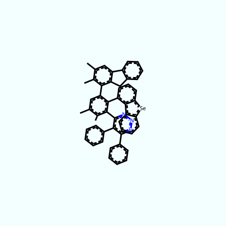 Cc1cc2c(c(-c3cc(C)c(C)c(-c4nnnc(-c5ccccc5)c4-c4ccccc4)c3-c3cccc4[se]c5ccccc5c34)c1C)Cc1ccccc1-2